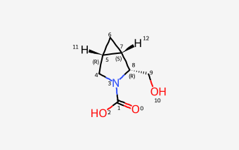 O=C(O)N1C[C@@H]2C[C@@H]2[C@@H]1CO